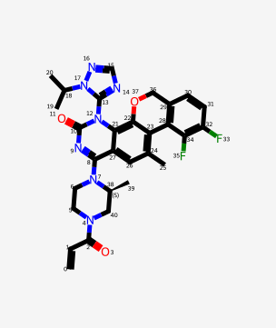 C=CC(=O)N1CCN(c2nc(=O)n(-c3ncnn3C(C)C)c3c4c(c(C)cc23)-c2c(ccc(F)c2F)CO4)[C@@H](C)C1